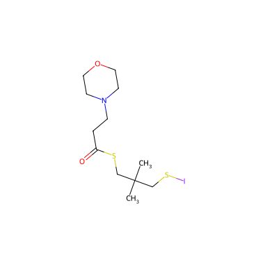 CC(C)(CSI)CSC(=O)CCN1CCOCC1